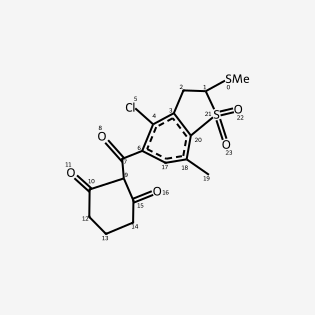 CSC1Cc2c(Cl)c(C(=O)C3C(=O)CCCC3=O)cc(C)c2S1(=O)=O